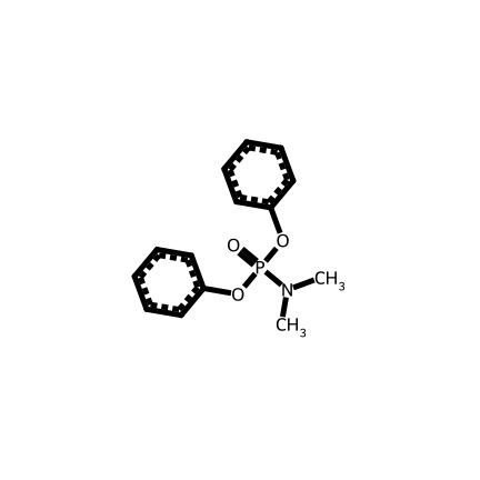 CN(C)P(=O)(Oc1ccccc1)Oc1ccccc1